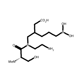 CN[C@@H](CO)C(=O)N(CCN)CC(CCCB(O)O)CC(=O)O